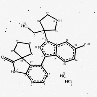 Cl.Cl.O=C1Nc2nccc(-c3nn(C4(CO)CCNC4)c4cc(F)ccc34)c2C12CCCC2